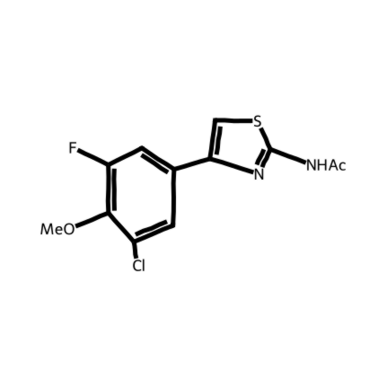 COc1c(F)cc(-c2csc(NC(C)=O)n2)cc1Cl